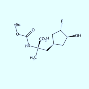 CC(C)(C)OC(=O)N[C@@](C)(C[C@@H]1C[C@H](O)[C@@H](F)C1)C(=O)O